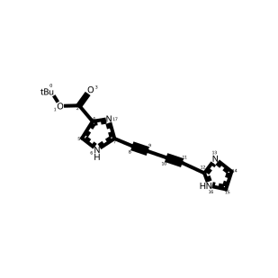 CC(C)(C)OC(=O)c1c[nH]c(C#CC#Cc2ncc[nH]2)n1